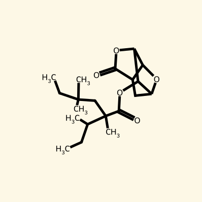 CCC(C)C(C)(CC(C)(C)CC)C(=O)OC1C2CC3C(=O)OC1C3O2